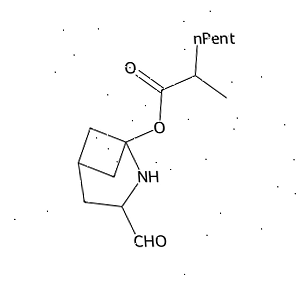 CCCCCC(C)C(=O)OC12CC(CC(C=O)N1)C2